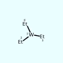 C[CH2][W]([CH2]C)[CH2]C